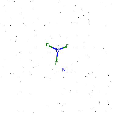 FN(F)F.[N]